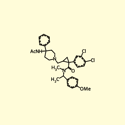 COc1ccc(C(C)N(C)C(=O)C2(c3ccc(Cl)c(Cl)c3)CC2CN2CCC(NC(C)=O)(c3ccccc3)CC2)cc1